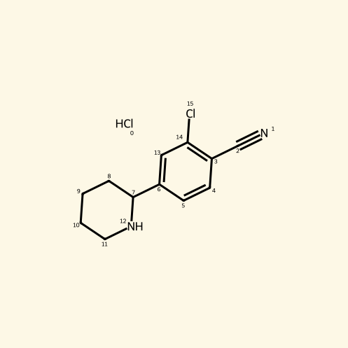 Cl.N#Cc1ccc(C2CCCCN2)cc1Cl